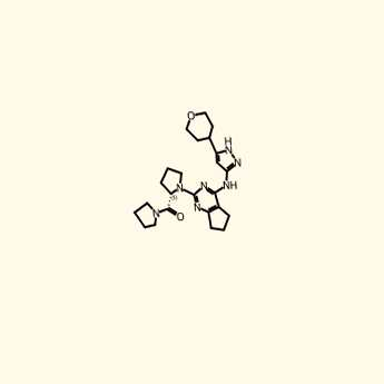 O=C([C@@H]1CCCN1c1nc2c(c(Nc3cc(C4CCOCC4)[nH]n3)n1)CCC2)N1CCCC1